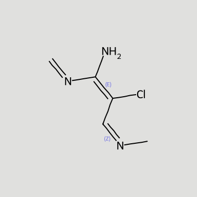 C=N/C(N)=C(Cl)\C=N/C